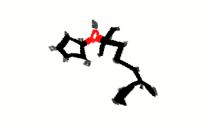 C=CC(C)CCCC(C)(C)OC1CCCC1